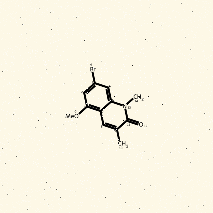 COc1cc(Br)cc2c1cc(C)c(=O)n2C